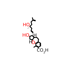 C=C(C)CC[C@](C)(O)C/C=C/[C@@H]1[C@H]2CCc3ccc(C(=O)O)c(C)c3O[C@H]2C[C@H]1O